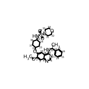 COc1cc2ncnc(N[C@H](C)c3ccccc3)c2cc1OC1CCC(NS(=O)(=O)N2CCOCC2)CC1